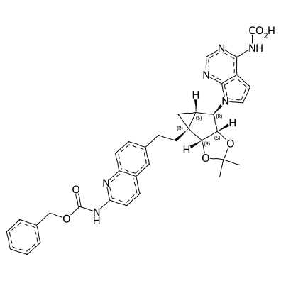 CC1(C)O[C@H]2[C@H](n3ccc4c(NC(=O)O)ncnc43)[C@H]3C[C@@]3(CCc3ccc4nc(NC(=O)OCc5ccccc5)ccc4c3)[C@H]2O1